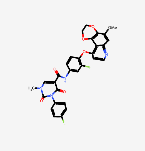 COc1cc2nccc(Oc3ccc(NC(=O)c4cn(C)c(=O)n(-c5ccc(F)cc5)c4=O)cc3F)c2c2c1OCCO2